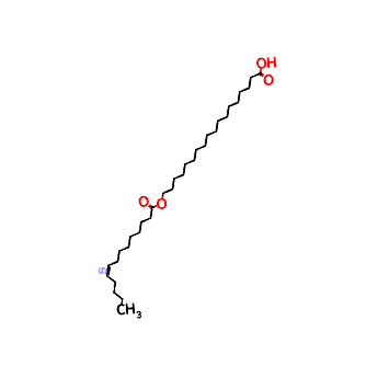 CCCC/C=C\CCCCCCCC(=O)OCCCCCCCCCCCCCCCCCC(=O)O